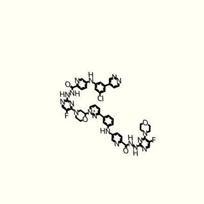 O=C(NNc1ncc(F)c(N2CCOCC2)n1)c1ccc(Nc2cccc(-c3ccc[n+](C4CN(c5nc(NNC(=O)c6ccc(Nc7cc(Cl)cc(-c8ccnnc8)c7)cn6)ncc5F)CCO4)n3)c2)cn1